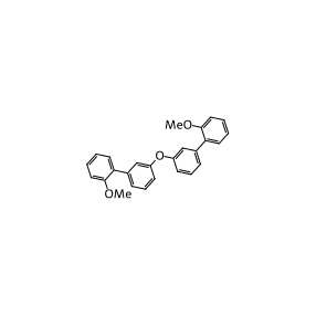 COc1ccccc1-c1cccc(Oc2cccc(-c3ccccc3OC)c2)c1